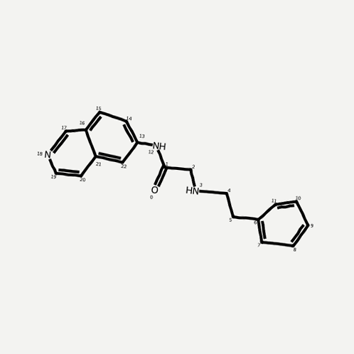 O=C(CNCCc1ccccc1)Nc1ccc2cnccc2c1